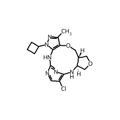 Cc1nn(C2CCC2)c2c1OC[C@@H]1COC[C@H]1Nc1nc(ncc1Cl)N2